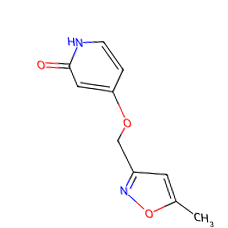 Cc1cc(COc2cc[nH]c(=O)c2)no1